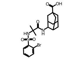 CC(C)(NS(=O)(=O)c1ccccc1Br)C(=O)NC1C2CC3CC1CC(C(=O)O)(C3)C2